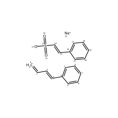 C=CC=Cc1ccccc1.O=S(=O)([O-])C=Cc1ccccc1.[Na+]